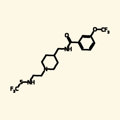 O=C(NCC1CCN(CCNSC(F)(F)F)CC1)c1cccc(OC(F)(F)F)c1